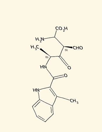 Cc1c(C(=O)N[C@@H](C)C(=O)[C@H](C=O)C(N)C(=O)O)[nH]c2ccccc12